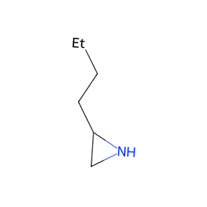 CCCCC1CN1